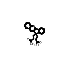 O=C(O)CCC1(CCC(=O)O)c2ccccc2-c2nc3ccccc3cc21